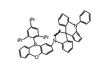 CC(C)c1cc(C(C)C)c(B2c3ccccc3Oc3ccc(N4c5ccccc5C5(c6ccccc6N(c6ccccc6)c6ccccc65)c5ccccc54)cc32)c(C(C)C)c1